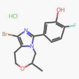 CC1Cn2c(-c3ccc(F)c(O)c3)nc(Br)c2CCO1.Cl